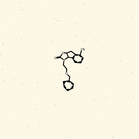 N#Cc1cccc2c1CC1OC(=O)N(CCOCc3ccccc3)C21